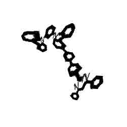 c1ccc(-c2cc(-c3ccccc3)nc(-c3ccc(-c4ccc(-c5ccc6c(c5)c5ccccc5n6-c5cccc(-n6c7ccccc7c7ccccc76)c5)cc4)cc3)n2)cc1